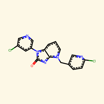 O=c1nc2n(Cc3ccc(Cl)nc3)cccc-2n1-c1cncc(Cl)c1